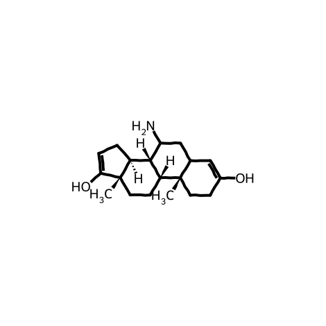 C[C@]12CCC(O)=CC1CC(N)[C@@H]1[C@H]2CC[C@]2(C)C(O)=CC[C@@H]12